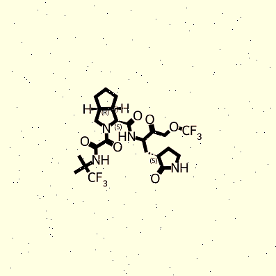 CC(C)(NC(=O)C(=O)N1C[C@@H]2CCC[C@@H]2[C@H]1C(=O)NC(C[C@@H]1CCNC1=O)C(=O)COC(F)(F)F)C(F)(F)F